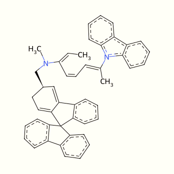 C\C=C(/C=C\C=C(/C)n1c2ccccc2c2ccccc21)N(C)C[C@H]1C=C2C(=CC1)C1(c3ccccc32)c2ccccc2-c2ccccc21